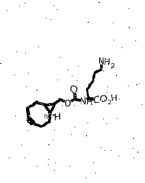 NCCCCC(NC(=O)OCC1C2CCC#CCC[C@@H]21)C(=O)O